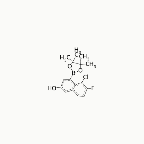 CC1(C)OB(c2cc(O)cc3ccc(F)c(Cl)c23)OC1(C)C